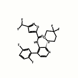 O=C(Nc1c(-c2cc(F)ccc2F)ccnc1[C@H]1CCC(F)(F)CO1)c1cc(C(F)F)no1